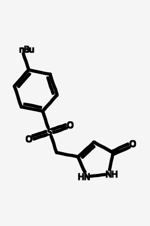 CCCCc1ccc(S(=O)(=O)Cc2cc(=O)[nH][nH]2)cc1